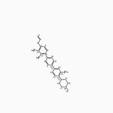 C=CCc1ccc(-c2ccc(-c3ccc(C4CCC(C)CC4)c(F)c3)cc2)c(F)c1F